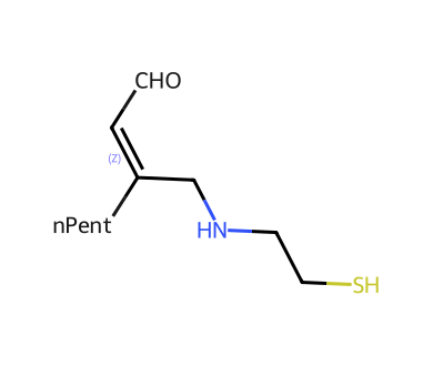 CCCCC/C(=C/C=O)CNCCS